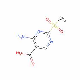 CS(=O)(=O)c1ncc(C(=O)O)c(N)n1